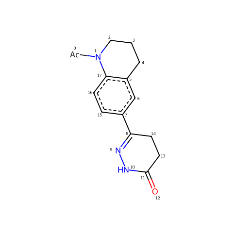 CC(=O)N1CCCc2cc(C3=NNC(=O)CC3)ccc21